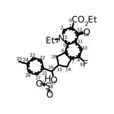 CCOC(=O)c1cn(CC)c2c3c(c(F)cc2c1=O)CC(C(O[SH](=O)=O)c1ccc(C)cc1)C3